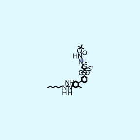 CCCCCCNC(=N)Nc1ccc(-c2cccc(S(=O)(=O)c3cc(/N=C/NC(=O)OC(C)(C)C)sc3SC)c2)c(C)c1